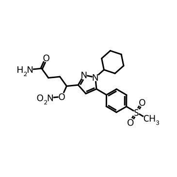 CS(=O)(=O)c1ccc(-c2cc(C(CCC(N)=O)O[N+](=O)[O-])nn2C2CCCCC2)cc1